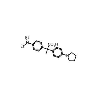 CCN(CC)c1ccc(C(C)(C(=O)O)c2ccc(N3CCCC3)cc2)cc1